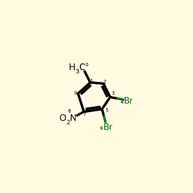 Cc1cc(Br)c(Br)c([N+](=O)[O-])c1